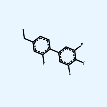 CCc1ccc(-c2cc(F)c(F)c(F)c2)c(F)c1